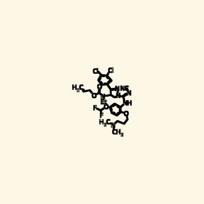 C=CCOC(=O)N(CC)C1CN(/C(=N\C#N)Nc2cc(OC(F)F)ccc2OCCCN(C)C)N=C1c1ccc(Cl)c(Cl)c1